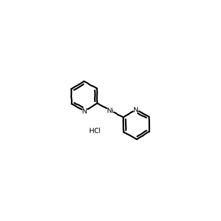 Cl.c1cc[c]([Ni][c]2ccccn2)nc1